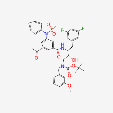 COc1cccc(CN(C[C@@H](O)[C@H](Cc2cc(F)cc(F)c2)NC(=O)c2cc(C(C)=O)cc(N(c3ccccc3)S(C)(=O)=O)c2)C(=O)OC(C)(C)C)c1